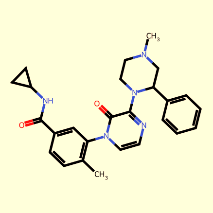 Cc1ccc(C(=O)NC2CC2)cc1-n1ccnc(N2CCN(C)CC2c2ccccc2)c1=O